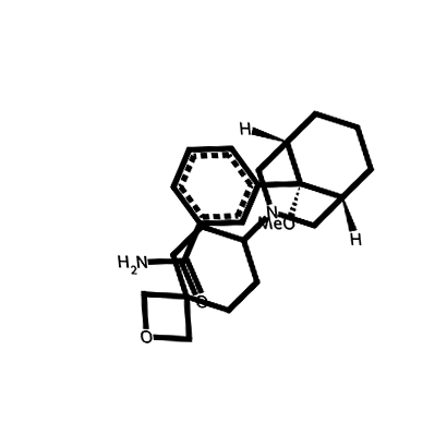 CO[C@@]1(c2cccc(C(N)=O)c2)[C@@H]2CCC[C@H]1CN(C1CCC3(CC1)COC3)C2